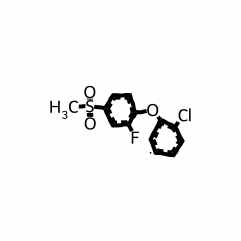 CS(=O)(=O)c1ccc(Oc2c[c]ccc2Cl)c(F)c1